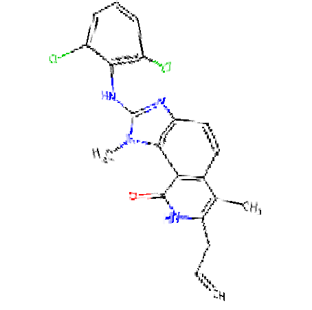 [CH]=CCc1[nH]c(=O)c2c(ccc3nc(Nc4c(Cl)cccc4Cl)n(C)c32)c1C